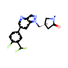 CN1C[C@@H](Cn2ncc3ncc(-c4ccc(F)c(C(F)F)c4)cc32)CC1=O